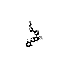 CC1(C)[C@H]2CC[C@]1(c1cncc(-c3cnn(CCO)c3)n1)c1nnc(-c3c(F)cccc3F)cc12